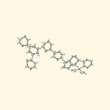 CC1(C)c2ccccc2-c2ccc3c(cnn3-c3ccc(-c4cccc(-c5nc(-c6ccccc6)nc(-c6ccccc6)n5)c4)cc3)c21